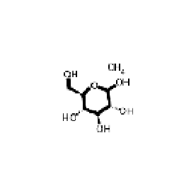 C.OC[C@H]1OC(O)[C@H](O)[C@@H](O)[C@@H]1O